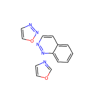 c1ccc2nnccc2c1.c1cocn1.c1conn1